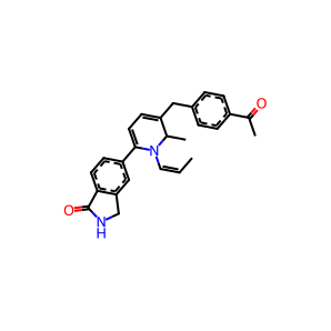 C/C=C\N1C(c2ccc3c(c2)CNC3=O)=CC=C(Cc2ccc(C(C)=O)cc2)C1C